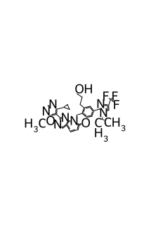 COc1ncnc(C2CC2)c1-c1ncc2ccc(=O)n(Cc3ccc(-c4nc(C(F)(F)F)cn4C(C)C)cc3CCCO)c2n1